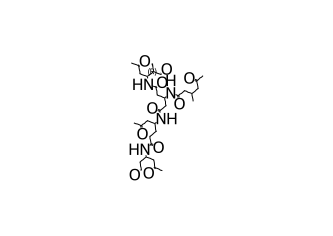 CC(=O)CC(C)CC(=O)NC(CC(=O)NC(CCC(=O)NC(CC=O)CC(C)=O)CC(C)=O)CC(=O)NC(CC(C)=O)[C@@H](C)C=O